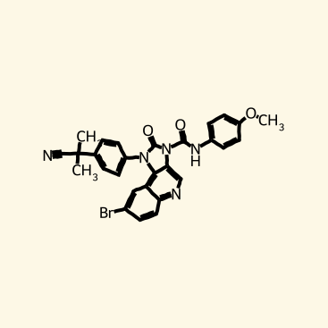 COc1ccc(NC(=O)n2c(=O)n(-c3ccc(C(C)(C)C#N)cc3)c3c4cc(Br)ccc4ncc32)cc1